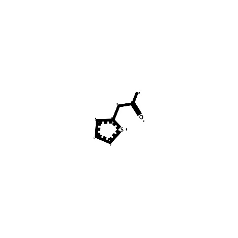 CC(=O)Cc1[c]ccs1